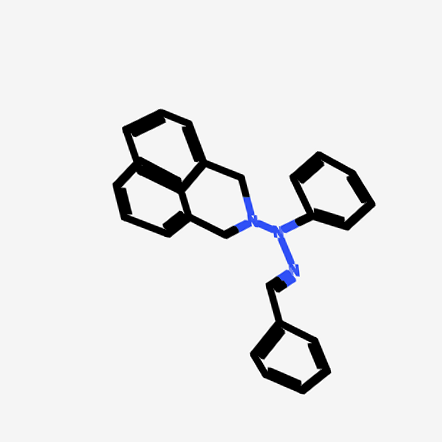 C(=NN(c1ccccc1)N(Cc1ccccc1)Cc1ccccc1)c1ccccc1